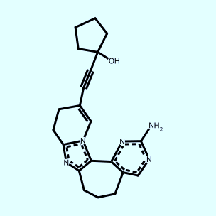 Nc1ncc2c(n1)-c1c(nc3n1C=C(C#CC1(O)CCCC1)CC3)CCC2